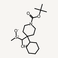 C[S+]([O-])C(O)C1(C2CCCCC2)CCN(C(=O)OC(C)(C)C)CC1